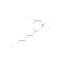 CCCCCC1OC(C)CC(C)(C)O1